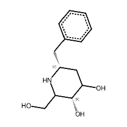 OCC1N[C@H](Cc2ccccc2)CC(O)[C@@H]1O